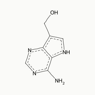 Nc1ncnc2c(CO)c[nH]c12